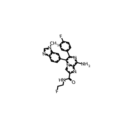 Cn1cnc2ccc(-c3c(-c4ccc(F)cc4)nc(N)c4nc(C(=O)NCCF)cn34)cc21